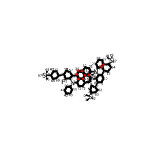 C[Si](C)(C)c1ccc(-c2ccc(-c3ccc([Si](C)(C)C)cc3)c(N(c3ccccc3)c3ccc4ccc5c(N(c6ccccc6)c6c(-c7ccc([Si](C)(C)C)cc7)ccc(-c7ccc([Si](C)(C)C)cc7)c6F)ccc6ccc3c4c65)c2F)cc1